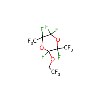 FC(F)(F)COC1(F)OC(F)(C(F)(F)F)C(F)(F)OC1(F)C(F)(F)F